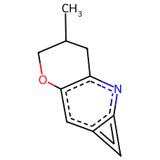 CC1COc2cc3c(nc2C1)=C=3